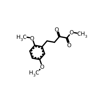 COC(=O)C(=O)CCc1cc(OC)ccc1OC